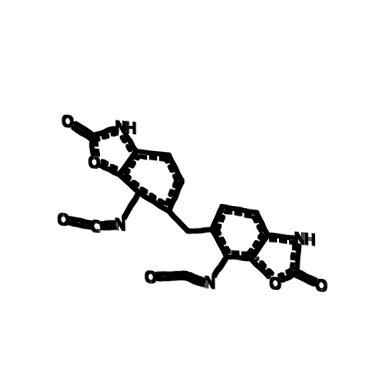 O=C=Nc1c(Cc2ccc3[nH]c(=O)oc3c2N=C=O)ccc2[nH]c(=O)oc12